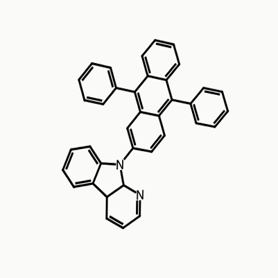 C1=CC2c3ccccc3N(c3ccc4c(-c5ccccc5)c5ccccc5c(-c5ccccc5)c4c3)C2N=C1